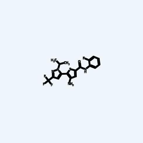 CC(C)n1nc(C(F)(F)F)cc1-c1sc(C(=O)Nc2ccccc2F)cc1N